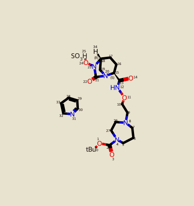 CC(C)(C)OC(=O)N1CCCN(CCONC(=O)[C@@H]2CC[C@@H]3CN2C(=O)N3OS(=O)(=O)O)CC1.c1ccncc1